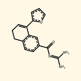 NC(N)=NC(=O)c1ccc2c(c1)C(c1ccco1)=CCC2